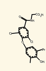 Cc1cc(Oc2c(Cl)cc(C(=O)NCC(=O)O)cc2Cl)cc(C(C)C)c1O